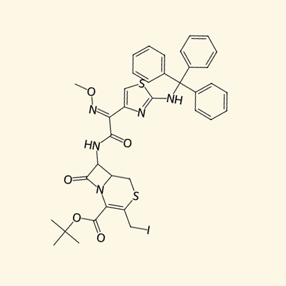 CON=C(C(=O)NC1C(=O)N2C(C(=O)OC(C)(C)C)=C(CI)SCC12)c1csc(NC(c2ccccc2)(c2ccccc2)c2ccccc2)n1